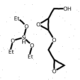 CCO[SiH](OCC)OCC.OCC1OC1OCC1CO1